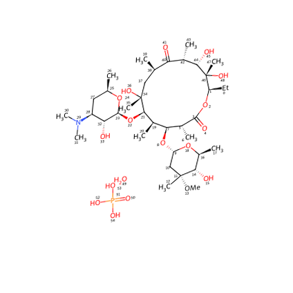 CC[C@H]1OC(=O)[C@H](C)[C@@H](O[C@H]2C[C@@](C)(OC)[C@@H](O)[C@H](C)O2)[C@@H](C)[C@@H](O[C@@H]2O[C@H](C)C[C@H](N(C)C)[C@H]2O)[C@](C)(O)C[C@@H](C)C(=O)[C@H](C)[C@H](O)[C@]1(C)O.O.O=P(O)(O)O